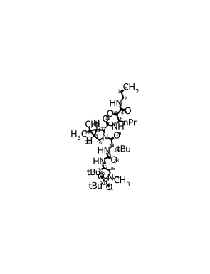 C=CCNC(=O)C(=O)C(CCC)NC(=O)[C@@H]1[C@@H]2[C@H](CN1C(=O)[C@@H](NC(=O)N[C@H](CN(C)S(=O)(=O)C(C)(C)C)C(C)(C)C)C(C)(C)C)C2(C)C